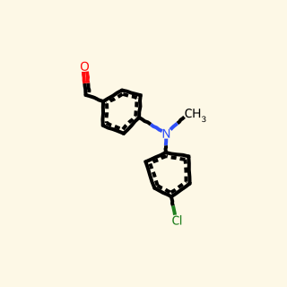 CN(c1ccc(Cl)cc1)c1ccc(C=O)cc1